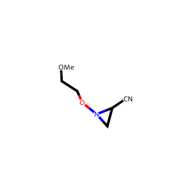 COCCON1CC1C#N